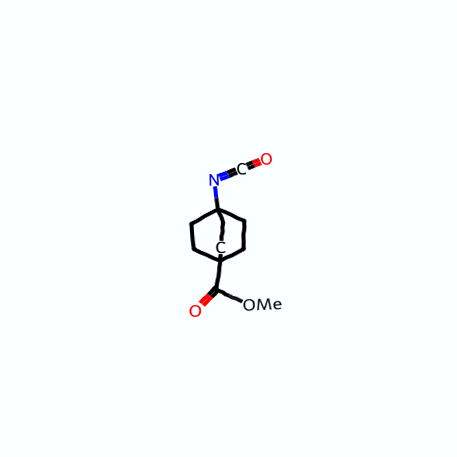 COC(=O)C12CCC(N=C=O)(CC1)CC2